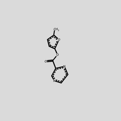 Cc1ccc(OC(=O)c2cnccn2)o1